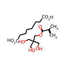 C=C(C)C(=O)OCC(CO)(CO)CO.O=C(O)CCCCCCC(=O)O